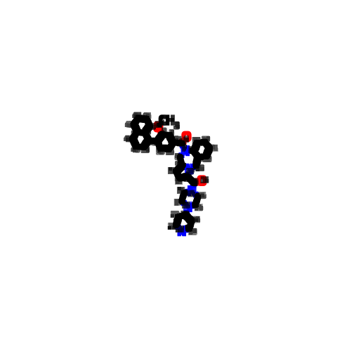 COc1cc(C(=O)N2Cc3ccc(C(=O)N4CCN(c5ccncc5)CC4)n3C=C3C=CCC=C32)ccc1-c1cccc2ccccc12